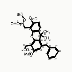 COc1ccc2c(c1CN(C=O)OC(C)(C)C)Oc1c(CC(=O)O)c(OC)cc(Cc3ccccc3)c1C2(C)C